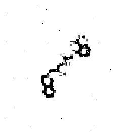 NC(=O)c1ccccc1OCC(=O)NCC(O)CN1CCc2ccccc2C1